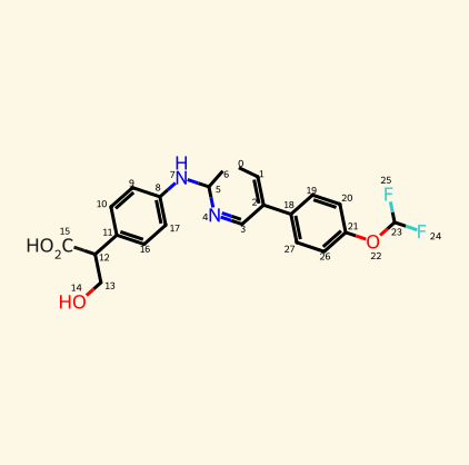 C/C=C(\C=N/C(C)Nc1ccc(C(CO)C(=O)O)cc1)c1ccc(OC(F)F)cc1